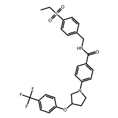 CCS(=O)(=O)c1ccc(CNC(=O)c2ccc(N3CCC(Oc4ccc(C(F)(F)F)cc4)C3)cc2)cc1